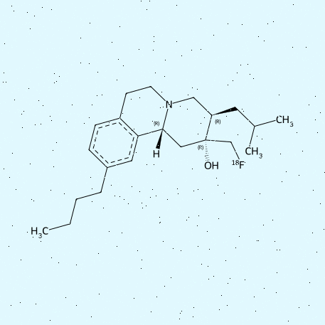 CCCCc1ccc2c(c1)[C@H]1C[C@](O)(C[18F])[C@H](CC(C)C)CN1CC2